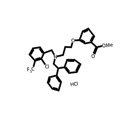 COC(=O)c1cccc(OCCCN(Cc2cccc(C(F)(F)F)c2Cl)CC(c2ccccc2)c2ccccc2)c1.Cl